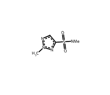 CNS(=O)(=O)c1cnn(C)n1